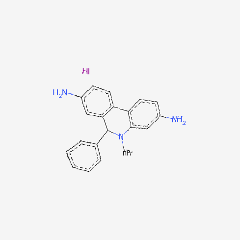 CCCN1c2cc(N)ccc2-c2ccc(N)cc2C1c1ccccc1.I